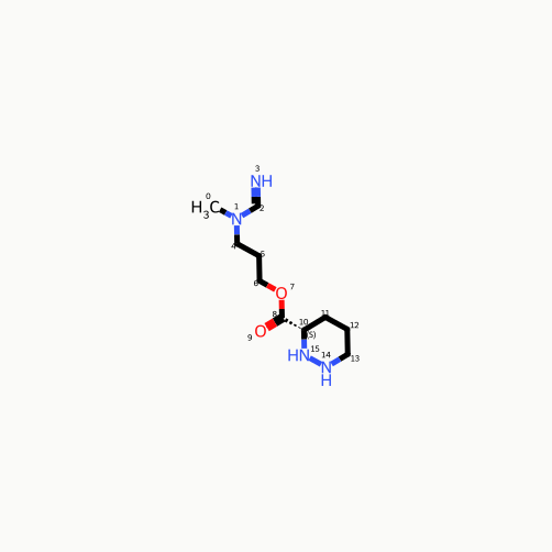 CN(C=N)CCCOC(=O)[C@@H]1CCCNN1